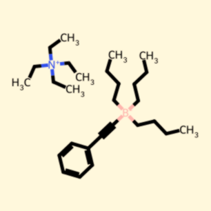 CCCC[B-](C#Cc1ccccc1)(CCCC)CCCC.CC[N+](CC)(CC)CC